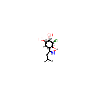 CC(C)Cc1noc2c(Cl)c(O)c(O)cc12